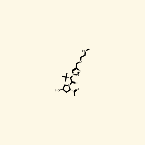 CNCCOCc1cn([C@H](C(=O)N2C[C@H](O)C[C@H]2C(C)=O)C(C)(C)C)nn1